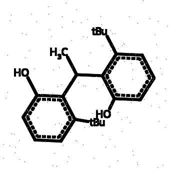 CC(c1c(O)cccc1C(C)(C)C)c1c(O)cccc1C(C)(C)C